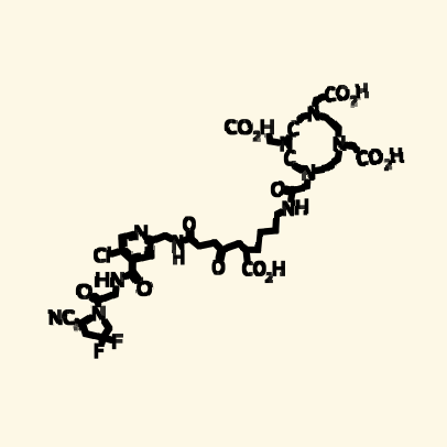 N#C[C@@H]1CC(F)(F)CN1C(=O)CNC(=O)c1cc(CNC(=O)CCC(=O)CC(CCCCNC(=O)CN2CCN(CC(=O)O)CCN(CC(=O)O)CCN(CC(=O)O)CC2)C(=O)O)ncc1Cl